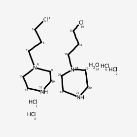 Cl.Cl.Cl.Cl.ClCCCN1CCNCC1.ClCCCN1CCNCC1.O